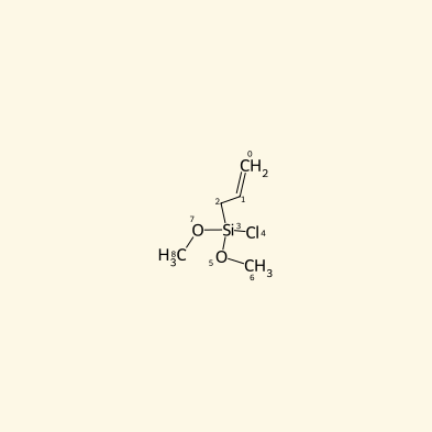 C=CC[Si](Cl)(OC)OC